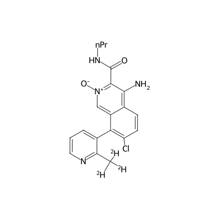 [2H]C([2H])([2H])c1ncccc1-c1c(Cl)ccc2c(N)c(C(=O)NCCC)[n+]([O-])cc12